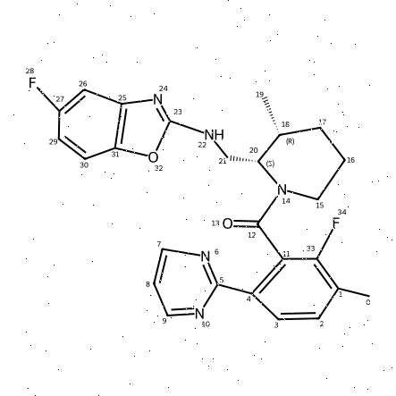 Cc1ccc(-c2ncccn2)c(C(=O)N2CCC[C@@H](C)[C@H]2CNc2nc3cc(F)ccc3o2)c1F